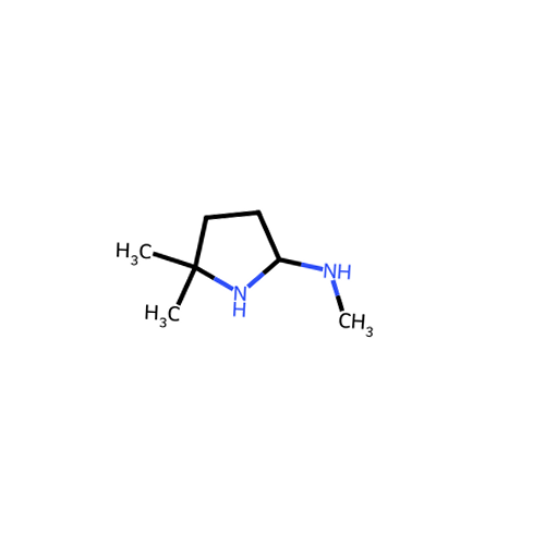 CNC1CCC(C)(C)N1